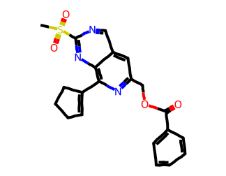 CS(=O)(=O)c1ncc2cc(COC(=O)c3ccccc3)nc(C3=CCCC3)c2n1